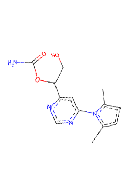 Cc1ccc(C)n1-c1cc(C(CO)OC(N)=O)ncn1